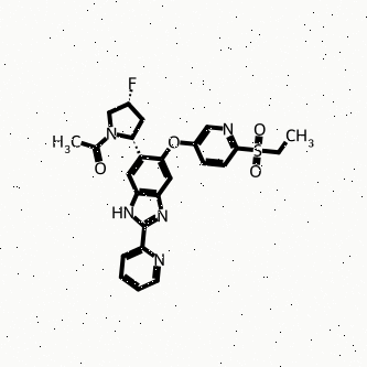 CCS(=O)(=O)c1ccc(Oc2cc3nc(-c4ccccn4)[nH]c3cc2[C@H]2C[C@@H](F)CN2C(C)=O)cn1